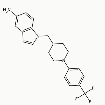 Nc1ccc2c(ccn2CC2CCN(c3ccc(C(F)(F)F)cc3)CC2)c1